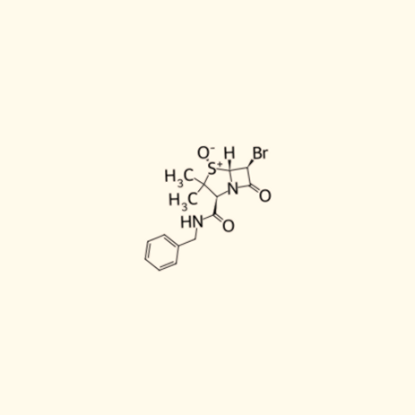 CC1(C)[C@H](C(=O)NCc2ccccc2)N2C(=O)[C@H](Br)[C@H]2[S@+]1[O-]